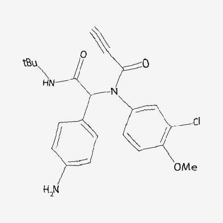 C#CC(=O)N(c1ccc(OC)c(Cl)c1)C(C(=O)NC(C)(C)C)c1ccc(N)cc1